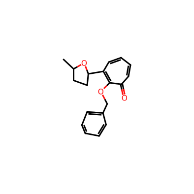 CC1CCC(c2ccccc(=O)c2OCc2ccccc2)O1